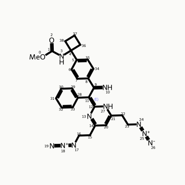 COC(=O)NC1(c2ccc(C(=N)/C(=C3/N=C(CCN=[N+]=[N-])C=C(CCN=[N+]=[N-])N3)c3ccccc3)cc2)CCC1